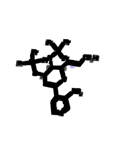 CCOC(=O)/C=C/[C@H]1OC(c2ccncc2[N+](=O)[O-])=C[C@@H](O[Si](C(C)C)(C(C)C)C(C)C)[C@@H]1O[Si](C(C)C)(C(C)C)C(C)C